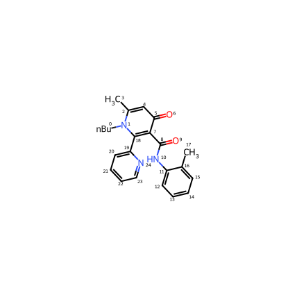 CCCCn1c(C)cc(=O)c(C(=O)Nc2ccccc2C)c1-c1ccccn1